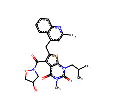 Cc1cc(Cc2sc3c(c2C(=O)N2CC(O)CO2)c(=O)n(C)c(=O)n3CC(C)C)c2ccccc2n1